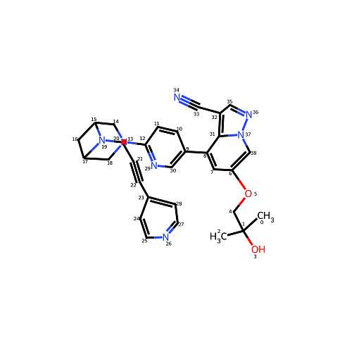 CC(C)(O)COc1cc(-c2ccc(N3CC4CC(C3)N4CC#Cc3ccncc3)nc2)c2c(C#N)cnn2c1